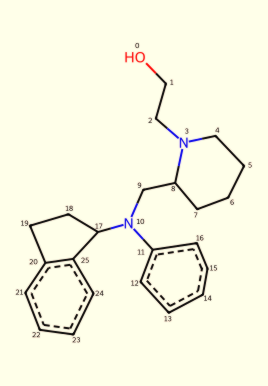 OCCN1CCCCC1CN(c1ccccc1)C1CCc2ccccc21